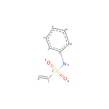 C=CS(=O)(=O)[N]c1ccccc1